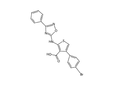 O=C(O)c1c(-c2ccc(Br)cc2)csc1Nc1nc(-c2ccccc2)no1